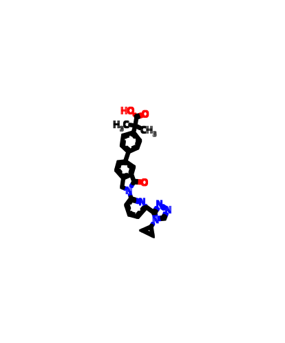 CC(C)(C(=O)O)c1ccc(-c2ccc3c(c2)C(=O)N(c2cccc(-c4nncn4C4CC4)n2)C3)cc1